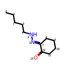 CCCCCNN=C1CCCCC1=O